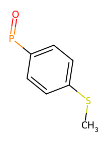 CSc1ccc(P=O)cc1